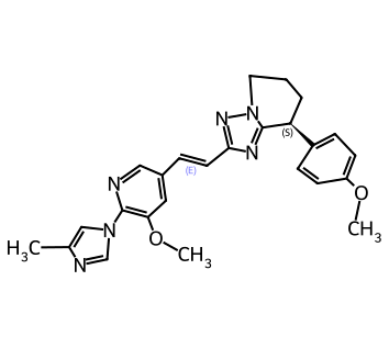 COc1ccc([C@@H]2CCCn3nc(/C=C/c4cnc(-n5cnc(C)c5)c(OC)c4)nc32)cc1